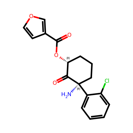 N[C@@]1(c2ccccc2Cl)CCC[C@@H](OC(=O)c2ccoc2)C1=O